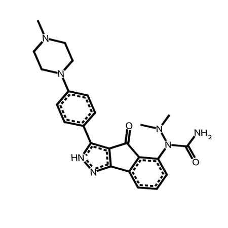 CN1CCN(c2ccc(-c3[nH]nc4c3C(=O)c3c-4cccc3N(C(N)=O)N(C)C)cc2)CC1